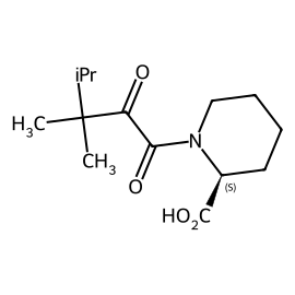 CC(C)C(C)(C)C(=O)C(=O)N1CCCC[C@H]1C(=O)O